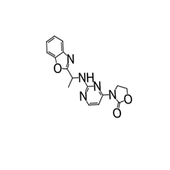 CC(Nc1nccc(N2CCOC2=O)n1)c1nc2ccccc2o1